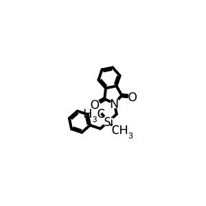 C[Si](C)(Cc1ccccc1)CN1C(=O)c2ccccc2C1=O